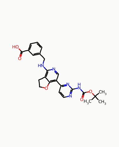 CC(C)(C)OC(=O)Nc1nccc(-c2cnc(NCc3cccc(C(=O)O)c3)c3c2OCC3)n1